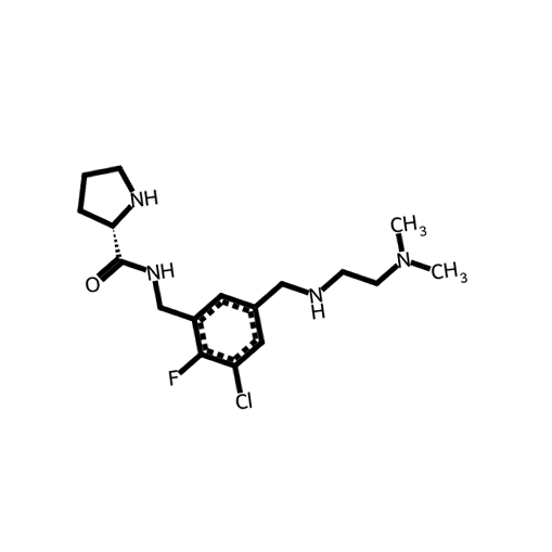 CN(C)CCNCc1cc(Cl)c(F)c(CNC(=O)[C@@H]2CCCN2)c1